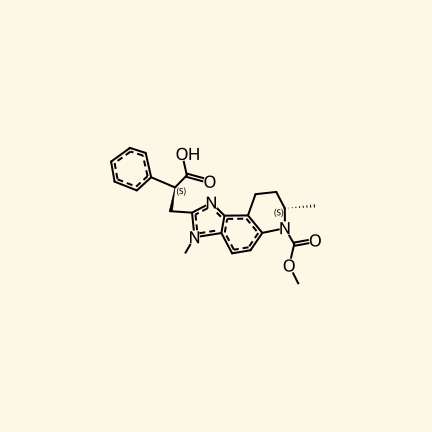 COC(=O)N1c2ccc3c(nc(C[C@H](C(=O)O)c4ccccc4)n3C)c2CC[C@@H]1C